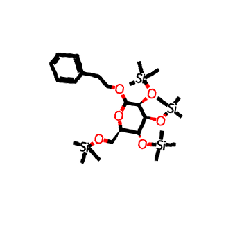 C[Si](C)(C)OC[C@H]1OC(OCCc2ccccc2)[C@@H](O[Si](C)(C)C)[C@@H](O[Si](C)(C)C)[C@@H]1O[Si](C)(C)C